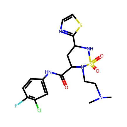 CN(C)CCN1C(C(=O)Nc2ccc(F)c(Cl)c2)CC(c2nccs2)NS1(=O)=O